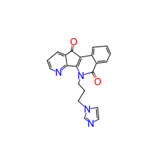 O=C1c2cccnc2-c2c1c1ccccc1c(=O)n2CCCn1ccnc1